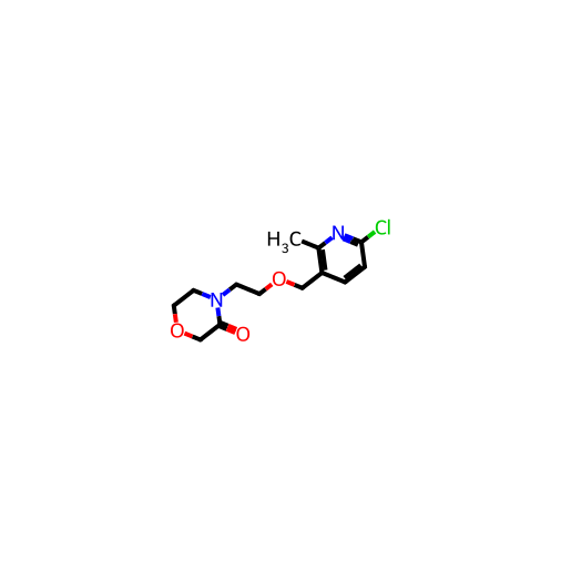 Cc1nc(Cl)ccc1COCCN1CCOCC1=O